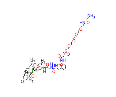 CCC(=O)O[C@]1(C(=O)COCNC(=O)CNC(=O)[C@H](Cc2ccccc2)NC(=O)CNC(=O)CNC(=O)CCOCCOCCOCCOCCNC(=O)CCN)[C@@H](C)C[C@H]2[C@@H]3CCC4=CC(=O)C=C[C@]4(C)[C@@]3(Cl)[C@@H](O)C[C@@]21C